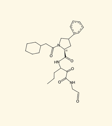 CCCC(NC(=O)[C@@H]1CC(c2ccccc2)CN1C(=O)CC1CCCCC1)C(=O)C(=O)NCC=O